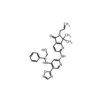 C=CCN1C(=O)c2ccc(Nc3cc(N[C@H](CO)c4ccccc4)c(-c4ncno4)cn3)nc2C1(C)C